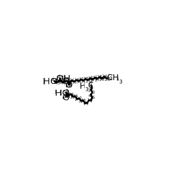 CCCCC/C=C\C/C=C\CCCCCCCC(=O)O.CCCCCCCCCCCCCCCCCC(=O)OCC(O)CO